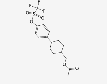 CC(=O)OCC1CCC(c2ccc(OS(=O)(=O)C(F)(F)F)cc2)CC1